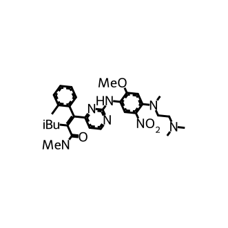 CCC(C)/C(C(=O)NC)=C(/c1ccnc(Nc2cc([N+](=O)[O-])c(N(C)CCN(C)C)cc2OC)n1)c1ccccc1C